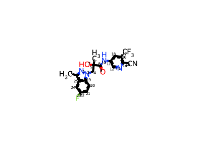 Cc1nn(CC(C)(O)C(=O)Nc2cnc(C#N)c(C(F)(F)F)c2)c2ccc(F)cc12